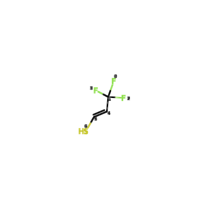 FC(F)(F)C=CS